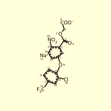 O=C([O-])COC(=O)c1cc(Oc2ccc(C(F)(F)F)cc2Cl)ccc1[N+](=O)[O-].[Na+]